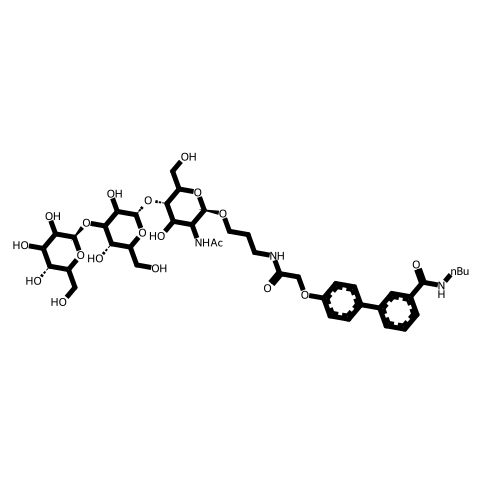 CCCCNC(=O)c1cccc(-c2ccc(OCC(=O)NCCCO[C@@H]3OC(CO)[C@@H](O[C@@H]4OC(CO)[C@H](O)C(O[C@H]5OC(CO)[C@H](O)C(O)C5O)C4O)C(O)C3NC(C)=O)cc2)c1